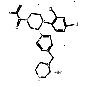 C=C(C)C(=O)N1CCN(c2ccc(Cl)cc2Cl)[C@H](c2ccc(CN3CCNC[C@H]3C(C)C)cc2)C1